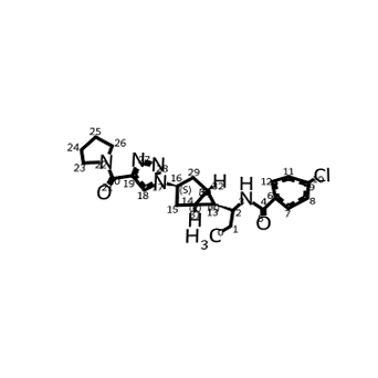 CCC(NC(=O)c1ccc(Cl)cc1)[C@H]1[C@@H]2C[C@@H](n3cc(C(=O)N4CCCC4)nn3)C[C@@H]21